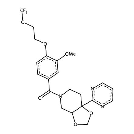 COc1cc(C(=O)N2CCC3(c4ncccn4)OCOC3C2)ccc1OCCOC(F)(F)F